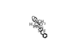 CC(C)(C(=O)Nc1ncc(Cc2ccccc2F)s1)N1CCOCC1